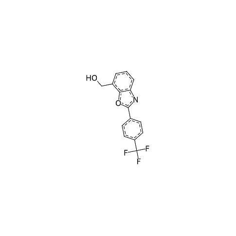 OCc1cccc2nc(-c3ccc(C(F)(F)F)cc3)oc12